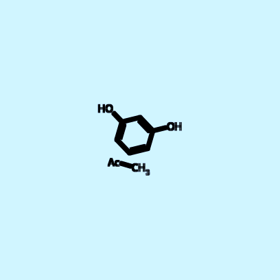 CC(C)=O.Oc1cccc(O)c1